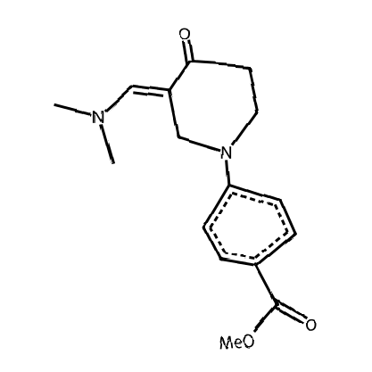 COC(=O)c1ccc(N2CCC(=O)C(=CN(C)C)C2)cc1